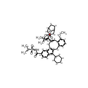 COc1cccc2c1/C=C(/C(=O)N1CC3CCC(C1)N3C(=O)OC(C)(C)C)Cn1c(c(C3CCCCC3)c3ccc(C(=O)NS(=O)(=O)N(C)C)cc31)C2